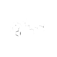 Cc1ccc2c(c1C)OC(C)(CCCC(C)CCCC(C)CCCC(C)C)CC2